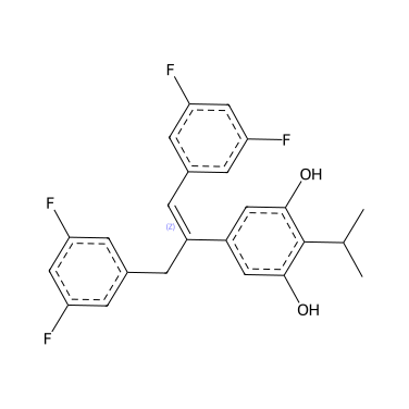 CC(C)c1c(O)cc(/C(=C\c2cc(F)cc(F)c2)Cc2cc(F)cc(F)c2)cc1O